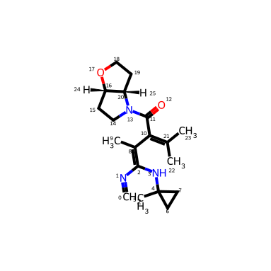 C=N/C(NC1(C)CC1)=C(\C)C(C(=O)N1CC[C@@H]2OCC[C@@H]21)=C(C)C